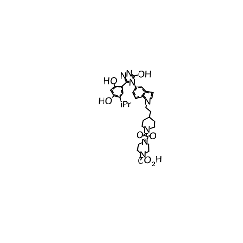 CC(C)c1cc(-c2nnc(O)n2-c2ccc3c(ccn3CCC3CCN(S(=O)(=O)N4CCN(C(=O)O)CC4)CC3)c2)c(O)cc1O